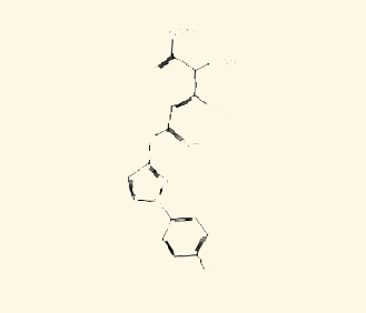 CNC(=O)C(OC)C(C)=CC(=N)Oc1ccn(-c2ccc(Cl)cc2)n1